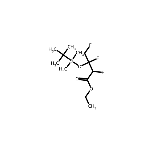 CCOC(=O)C(F)C(F)(CF)O[Si](C)(C)C(C)(C)C